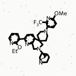 CCOc1ncccc1-c1ccc2c(n1)CN(C1CN3CCC1CC3)CC21CCN(c2ccc(OC)nc2C(F)(F)F)CC1